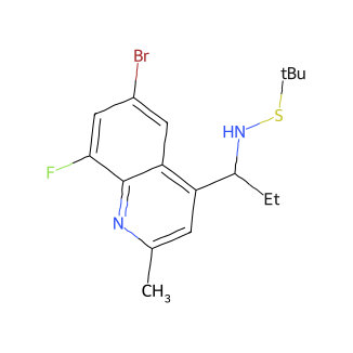 CCC(NSC(C)(C)C)c1cc(C)nc2c(F)cc(Br)cc12